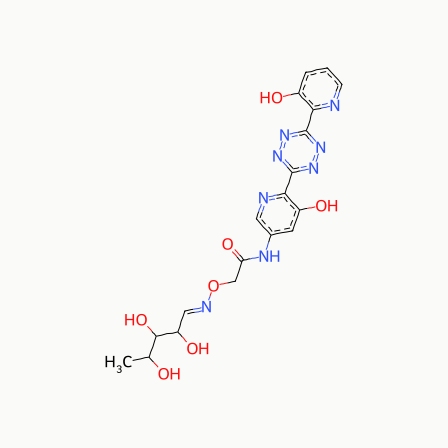 CC(O)C(O)C(O)/C=N/OCC(=O)Nc1cnc(-c2nnc(-c3ncccc3O)nn2)c(O)c1